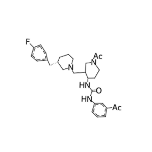 CC(=O)c1cccc(NC(=O)NC2CCN(C(C)=O)CC2CN2CCC[C@@H](Cc3ccc(F)cc3)C2)c1